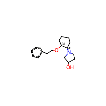 OC1CCN([C@@H]2CCCC[C@@H]2OCCc2ccccc2)C1